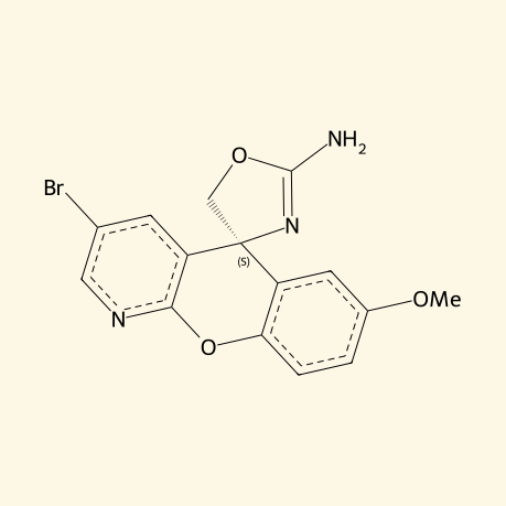 COc1ccc2c(c1)[C@@]1(COC(N)=N1)c1cc(Br)cnc1O2